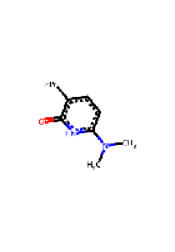 CCCc1ccc(N(C)C)[nH]c1=O